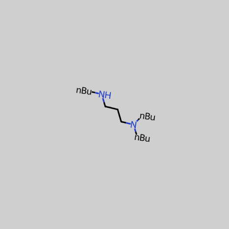 CCCCNCCCN(CCCC)CCCC